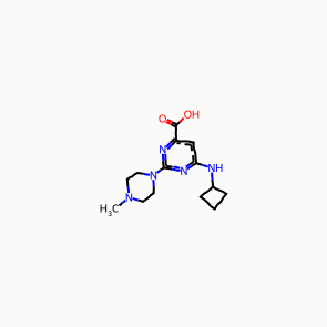 CN1CCN(c2nc(NC3CCC3)cc(C(=O)O)n2)CC1